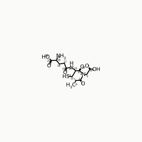 CCC(=O)N(CC(=O)O)C(=O)C(CS)NC(=O)CCC(N)C(=O)O